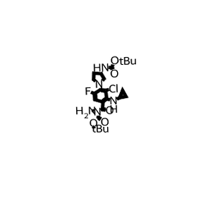 CC(C)(C)OC(=O)N[C@H]1CCN(c2c(F)cc(C(=O)N(N)C(=O)OC(C)(C)C)c(NC3CC3)c2Cl)C1